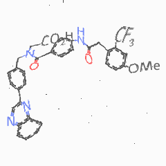 COc1ccc(CC(=O)Nc2ccc(C(=O)N(CC(=O)O)Cc3ccc(-c4cnc5ccccc5n4)cc3)cc2)c(C(F)(F)F)c1